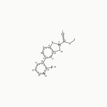 CCC(=O)N1Cc2ccc(-c3cccnc3F)cc2C1